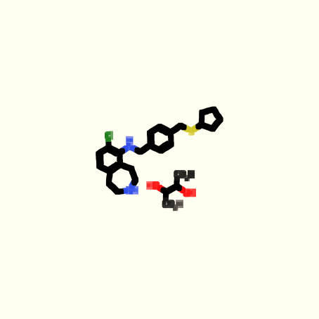 Clc1ccc2c(c1NCc1ccc(CSC3CCCC3)cc1)CCNCC2.O=C(O)C(O)C(O)C(=O)O